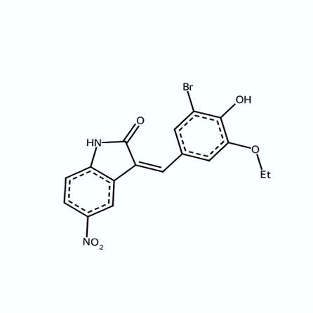 CCOc1cc(C=C2C(=O)Nc3ccc([N+](=O)[O-])cc32)cc(Br)c1O